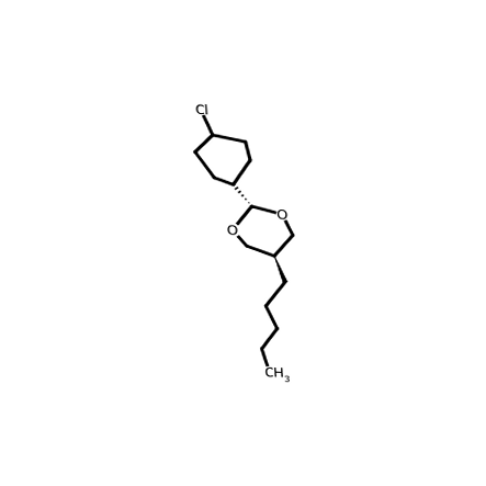 CCCCC[C@H]1CO[C@H](C2CCC(Cl)CC2)OC1